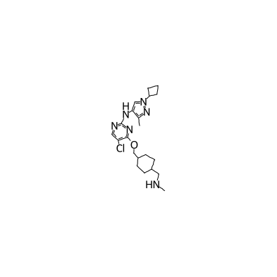 CNCC1CCC(COc2nc(Nc3cn(C4CCC4)nc3C)ncc2Cl)CC1